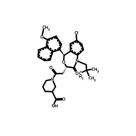 COc1ccc([C@@H]2O[C@@H](CC(=O)N3CCCC(C(=O)O)C3)C(=O)N(CC(C)(C)C)c3ccc(Cl)cc32)c2ccccc12